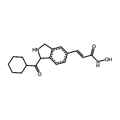 O=C(C=Cc1ccc2c(c1)CNC2C(=O)C1CCCCC1)NO